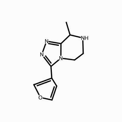 CC1NCCn2c(-c3ccoc3)nnc21